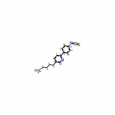 CCCCCc1ccc(-c2ccc(N=C=S)cc2)nc1